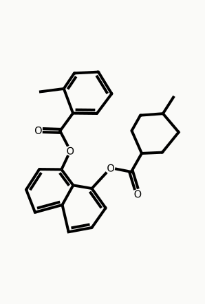 Cc1ccccc1C(=O)Oc1cccc2cccc(OC(=O)C3CCC(C)CC3)c12